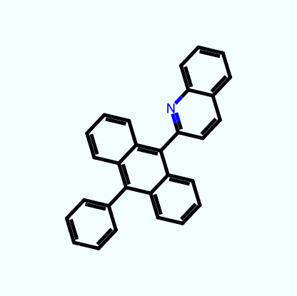 c1ccc(-c2c3ccccc3c(-c3ccc4ccccc4n3)c3ccccc23)cc1